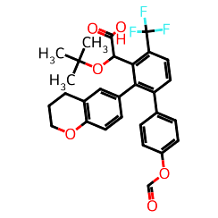 CC(C)(C)OC(C(=O)O)c1c(C(F)(F)F)ccc(-c2ccc(OC=O)cc2)c1-c1ccc2c(c1)CCCO2